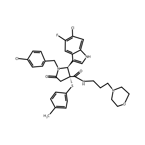 Cc1ccc(S[C@]2(C(=O)NCCCN3CCOCC3)CC(=O)N(Cc3ccc(Cl)cc3)[C@H]2c2c[nH]c3cc(Cl)c(F)cc23)cc1